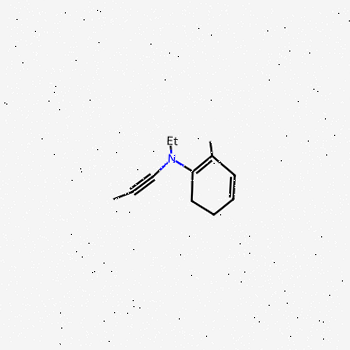 CC#CN(CC)C1=C(C)C=CCC1